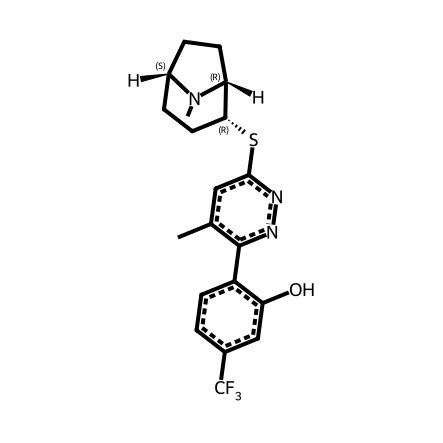 Cc1cc(S[C@@H]2CC[C@@H]3CC[C@H]2N3C)nnc1-c1ccc(C(F)(F)F)cc1O